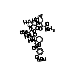 CCCCOc1cccc(S(=O)(=O)CC2(NC(=O)N[C@H](C(=O)N3C[C@@H]4C[C@@H]4[C@H]3C(=O)NC(CC3CC3)C(=O)C(N)=O)C(C)(C)C)CCCCC2)c1